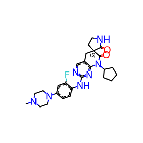 CN1CCN(c2ccc(Nc3ncc4c(n3)N(C3CCCC3)C(=O)[C@]3(CCNC3=O)C4)c(F)c2)CC1